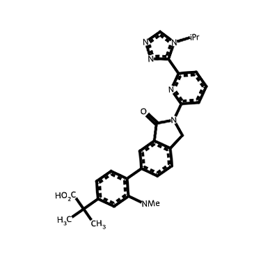 CNc1cc(C(C)(C)C(=O)O)ccc1-c1ccc2c(c1)C(=O)N(c1cccc(-c3nncn3C(C)C)n1)C2